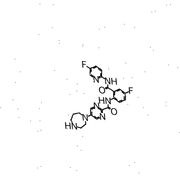 O=C(Nc1ccc(F)cc1C(=O)Nc1ccc(F)cn1)c1ncc(N2CCCNCC2)cn1